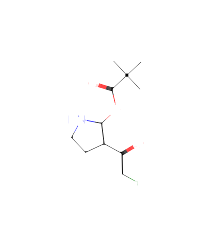 CC(C)(C)C(=O)OC1NCCC1C(=O)CCl